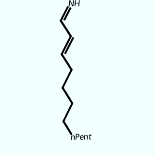 CCCCCCCCCC=CC=N